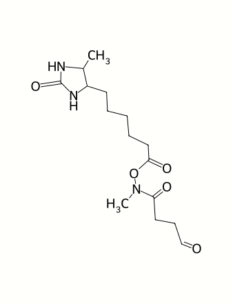 CC1NC(=O)NC1CCCCCC(=O)ON(C)C(=O)CCC=O